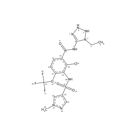 CCN1NNN=C1NC(=O)c1ccc(OC(F)(F)F)c(NS(=O)(=O)c2cnn(C)c2)c1Cl